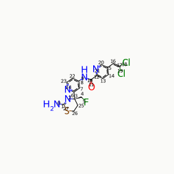 NC1=N[C@](CF)(c2cc(NC(=O)c3ccc(C=C(Cl)Cl)cn3)ccn2)CCS1